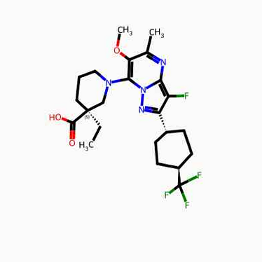 CC[C@]1(C(=O)O)CCCN(c2c(OC)c(C)nc3c(F)c([C@H]4CC[C@H](C(F)(F)F)CC4)nn23)C1